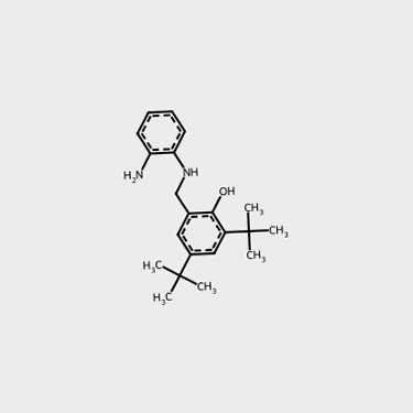 CC(C)(C)c1cc(CNc2ccccc2N)c(O)c(C(C)(C)C)c1